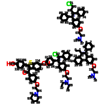 CC/C(=C(\c1ccccc1)c1ccc(OCCN(C)C)cc1)c1ccccc1.CCN(CC)CCOc1ccc(/C(=C(/Cl)c2ccccc2)c2ccccc2)cc1.CN(C)CCOc1ccc(/C(=C(/CCCl)c2ccccc2)c2ccccc2)cc1.O=C(c1ccc(OCCN2CCCCC2)cc1)c1c(-c2ccc(O)cc2)sc2cc(O)ccc12